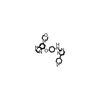 CN1CCC(c2ccnc(N[C@H]3CC[C@@H](Oc4cc(N5CCOCC5)cc5nccnc45)CC3)n2)CC1